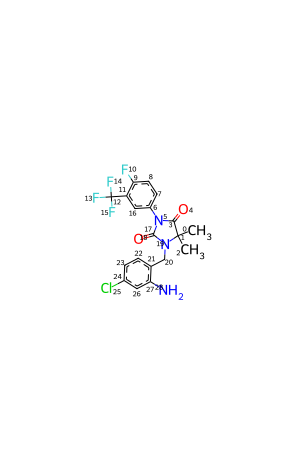 CC1(C)C(=O)N(c2ccc(F)c(C(F)(F)F)c2)C(=O)N1Cc1ccc(Cl)cc1N